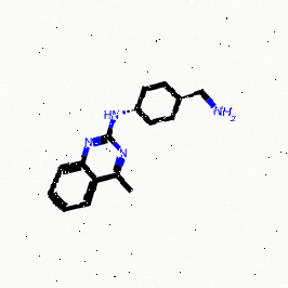 Cc1nc(N[C@H]2CC[C@H](CN)CC2)nc2ccccc12